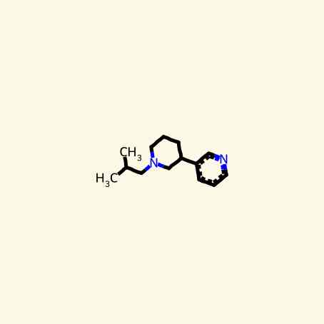 CC(C)CN1CCCC(c2cccnc2)C1